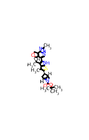 Cc1nc2c3c(c(-c4[nH]c5sc([C@@H]6C[C@@H]7C[C@H]6CN7C(=O)OC(C)(C)C)c(C)c5c4C(C)C)cn2n1)COC3